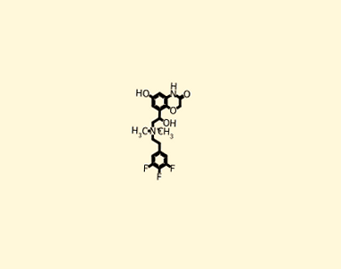 C[N+](C)(CCc1cc(F)c(F)c(F)c1)CC(O)c1cc(O)cc2c1OCC(=O)N2